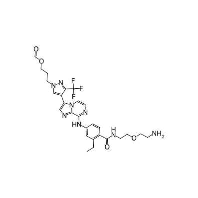 CCc1cc(Nc2nccn3c(-c4cn(CCCOC=O)nc4C(F)(F)F)cnc23)ccc1C(=O)NCCOCCN